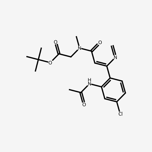 C=N/C(=C\C(=O)N(C)CC(=O)OC(C)(C)C)c1ccc(Cl)cc1NC(C)=O